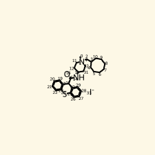 C[N+]1(CC2CCCCCCC2)CCC(NC(=O)C2c3ccccc3Sc3ccccc32)CC1.[I-]